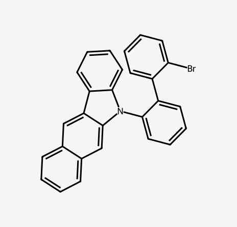 Brc1ccccc1-c1ccccc1-n1c2ccccc2c2cc3ccccc3cc21